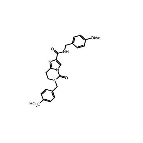 COc1ccc(CNC(=O)c2cn3c(n2)CCN(Cc2ccc(C(=O)O)cc2)C3=O)cc1